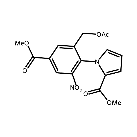 COC(=O)c1cc(COC(C)=O)c(-n2cccc2C(=O)OC)c([N+](=O)[O-])c1